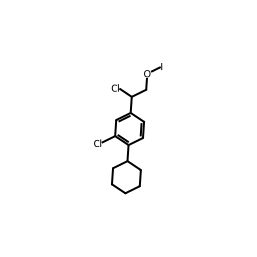 Clc1cc(C(Cl)COI)ccc1C1CCCCC1